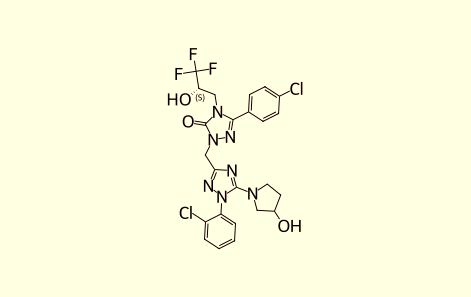 O=c1n(Cc2nc(N3CCC(O)C3)n(-c3ccccc3Cl)n2)nc(-c2ccc(Cl)cc2)n1C[C@H](O)C(F)(F)F